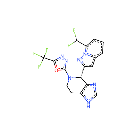 FC(F)c1cccc2cc([C@@H]3c4nc[nH]c4CCN3c3nnc(C(F)(F)F)o3)nn12